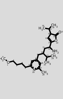 COCCCCc1cc(CC(CC(N)C2=CC(C(C)C)C(=O)O2)C(C)C)cc(C)n1